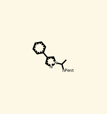 CCCCCC(C)n1cc(-c2ccccc2)cn1